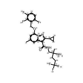 Cc1cc(OCc2c(F)ccc(F)c2F)n2nc(C3CC3)c(C(=O)NCC(C)(N)CCC(F)(F)F)c2c1